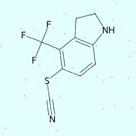 N#CSc1ccc2c(c1C(F)(F)F)CCN2